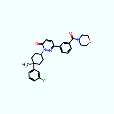 C[C@]1(c2cccc(Cl)c2)CC[C@H](n2nc(-c3cccc(C(=O)N4CCOCC4)c3)ccc2=O)CC1